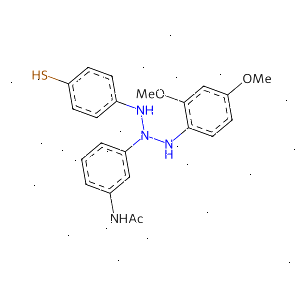 COc1ccc(NN(Nc2ccc(S)cc2)c2cccc(NC(C)=O)c2)c(OC)c1